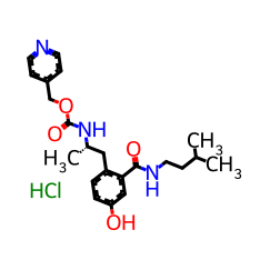 CC(C)CCNC(=O)c1cc(O)ccc1C[C@H](C)NC(=O)OCc1ccncc1.Cl